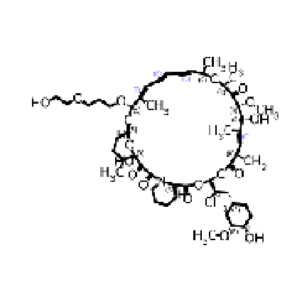 CO[C@@H]1C[C@H](C[C@@H](C)[C@@H]2CC(=O)[C@H](C)/C=C(\C)[C@@H](O)[C@@H](OC)C(=O)[C@H](C)C[C@H](C)/C=C/C=C/C=C(\C)[C@@H](OCCCOCCO)C[C@@H]3CC[C@@H](C)[C@@](O)(O3)C(=O)C(=O)N3CCCC[C@H]3C(=O)O2)CC[C@H]1O